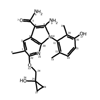 Cc1cc2c(C(N)=O)c(N)n(-c3c(C)ccc(O)c3C)c2nc1OCC1(O)CC1